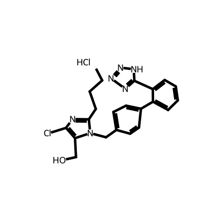 CCCCc1nc(Cl)c(CO)n1Cc1ccc(-c2ccccc2-c2nnn[nH]2)cc1.Cl